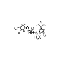 C=C(CCNC(=O)COc1ccc(Cl)c(F)c1)N1CC(C2CCC2)OC1=O